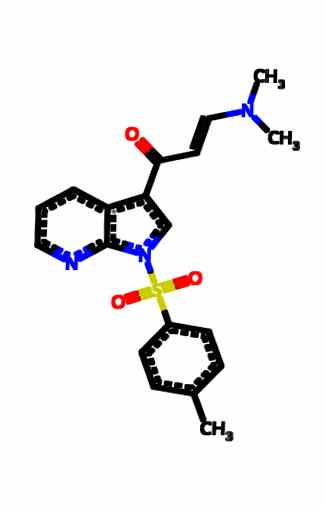 Cc1ccc(S(=O)(=O)n2cc(C(=O)/C=C/N(C)C)c3cccnc32)cc1